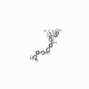 C=CCn1c(=O)c2cnc(Nc3ccc(N4CCC(NC5CCN(c6cccc(C7CC(=O)NC(=O)C7)c6)CC5)CC4)cc3)nc2n1-c1ccc2c(n1)[C@@](O)(CC)CC2